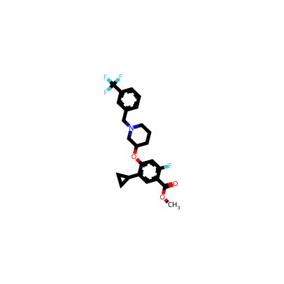 COC(=O)c1cc(C2CC2)c(OC2CCCN(Cc3cccc(C(F)(F)F)c3)C2)cc1F